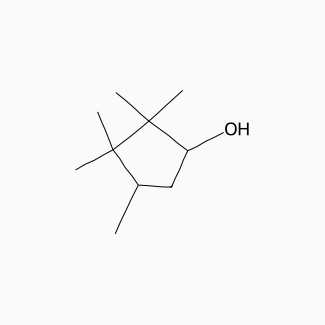 CC1CC(O)C(C)(C)C1(C)C